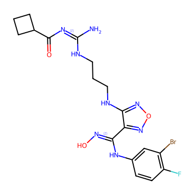 N/C(=N/C(=O)C1CCC1)NCCCNc1nonc1/C(=N/O)Nc1ccc(F)c(Br)c1